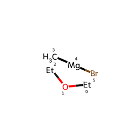 CCOCC.[CH3][Mg][Br]